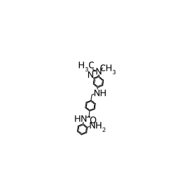 Cc1nc2cc(NCc3ccc(C(=O)Nc4ccccc4N)cc3)ccc2n1C